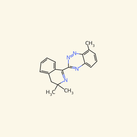 Cc1cccc2nc(C3=NC(C)(C)Cc4ccccc43)nnc12